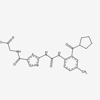 Cc1ccc(NC(=O)Nc2ncc(C(=O)NCC(=O)O)s2)c(C(=O)C2CCCC2)c1